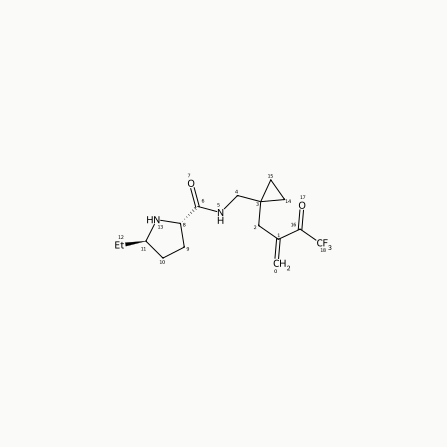 C=C(CC1(CNC(=O)[C@@H]2CC[C@@H](CC)N2)CC1)C(=O)C(F)(F)F